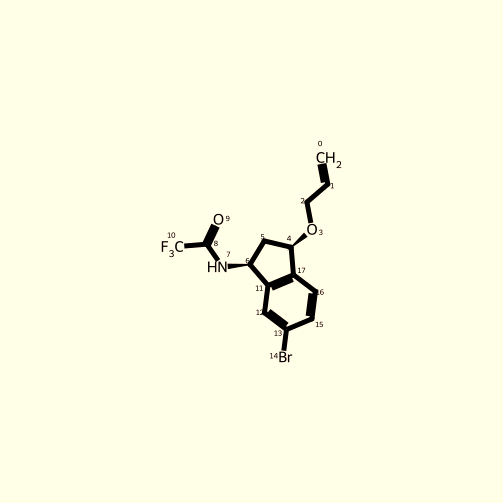 C=CCO[C@@H]1C[C@H](NC(=O)C(F)(F)F)c2cc(Br)ccc21